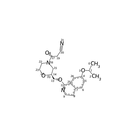 CC(C)Oc1ccc2ccnc(OC[C@@H]3CN(C(=O)CC#N)CCO3)c2c1